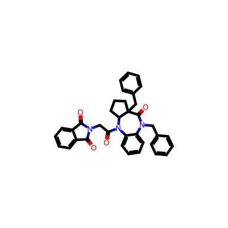 O=C1c2ccccc2C(=O)N1CC(=O)N1c2ccccc2N(Cc2ccccc2)C(=O)C2(Cc3ccccc3)CCCC12